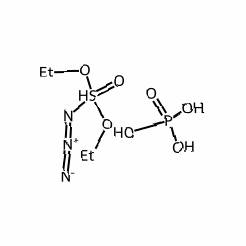 CCO[SH](=O)(N=[N+]=[N-])OCC.O=P(O)(O)O